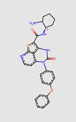 NC1CCCC[C@H]1NC(=O)c1sc2nccc3c2c1NC(=O)N3c1ccc(Oc2ccccc2)cc1